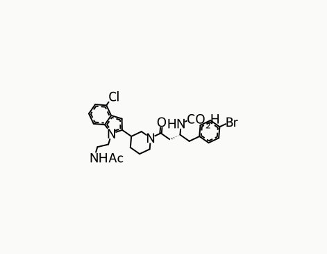 CC(=O)NCCn1c(C2CCCN(C(=O)C[C@@H](Cc3ccc(Br)cc3)NC(=O)O)C2)cc2c(Cl)cccc21